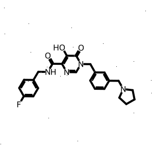 O=C(NCc1ccc(F)cc1)c1ncn(Cc2cccc(CN3CCCC3)c2)c(=O)c1O